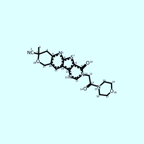 CC1(C#N)Cc2nc3sc4c(=O)n(CC(=O)N5CCOCC5)cnc4c3cc2CO1